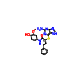 COc1cc(NC(=O)[C@H](CCc2ccccc2)Sc2nc(N)nc3nc[nH]c23)ccc1O